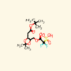 CC(C)(C)OC(=O)CC1OC(C)(C)OC1COC(=O)C(F)(F)S(=O)(=O)O